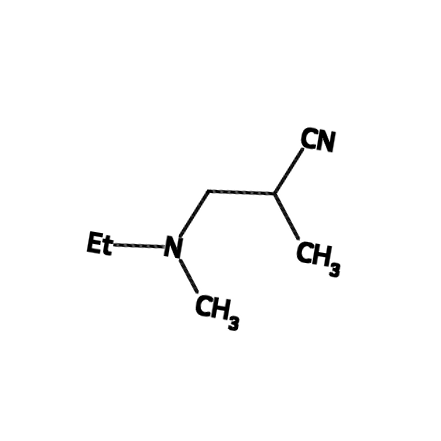 CCN(C)CC(C)C#N